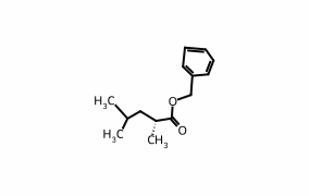 CC(C)C[C@@H](C)C(=O)OCc1ccccc1